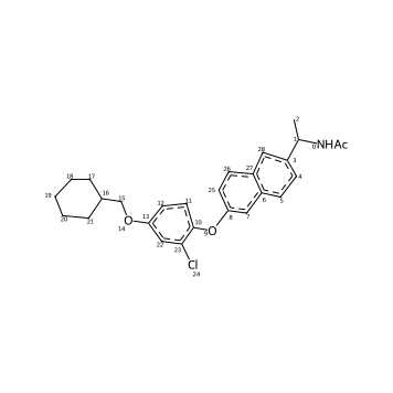 CC(=O)NC(C)c1ccc2cc(Oc3ccc(OCC4CCCCC4)cc3Cl)ccc2c1